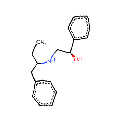 CCC(Cc1ccccc1)NC[C@H](O)c1ccccc1